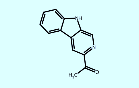 CC(=O)c1cc2c(cn1)[nH]c1ccccc12